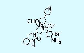 CN1CCC(C2CCN(C3(CC=O)CC(N4CCc5ccccc5NC4=O)CC[N@+]3(Cc3ccc(N)c(Br)c3)C(=O)[O-])CC2)CC1